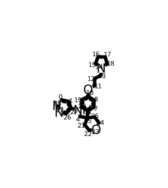 c1cc(NCC2(c3ccc(OCCCN4CCCC4)cc3)CCOCC2)cnn1